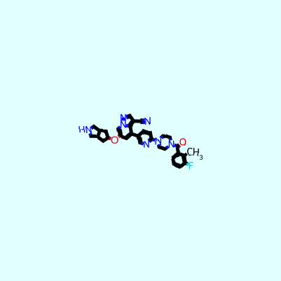 Cc1c(F)cccc1C(=O)N1CCN(c2ccc(-c3cc(OC4CC5CNCC5C4)cn4ncc(C#N)c34)cn2)CC1